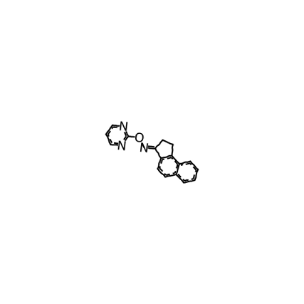 c1cnc(ON=C2CCc3c2ccc2ccccc32)nc1